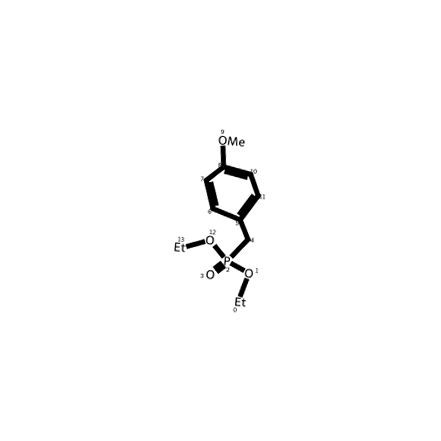 CCOP(=O)(Cc1ccc(OC)cc1)OCC